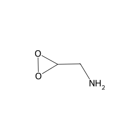 NCC1OO1